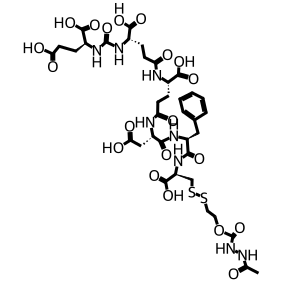 CC(=O)NNC(=O)OCCSSC[C@H](NC(=O)[C@H](Cc1ccccc1)NC(=O)[C@H](CC(=O)O)NC(=O)CC[C@H](NC(=O)CC[C@H](NC(=O)N[C@@H](CCC(=O)O)C(=O)O)C(=O)O)C(=O)O)C(=O)O